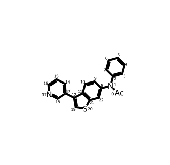 CC(=O)N(c1ccccc1)c1ccc2c(-c3cccnc3)csc2c1